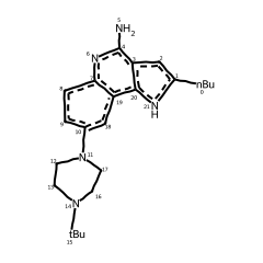 CCCCc1cc2c(N)nc3ccc(N4CCN(C(C)(C)C)CC4)cc3c2[nH]1